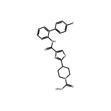 CCCCCC(=O)N1CCC(c2nc(C(=O)Nc3ccccc3-c3ccc(F)cc3)cs2)CC1